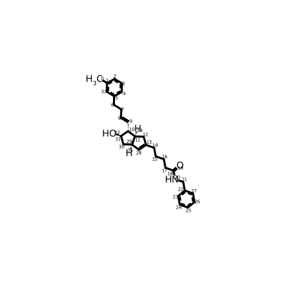 Cc1cccc(CC/C=C/[C@@H]2[C@H]3CC(CCCCC(=O)NCc4ccccc4)=C[C@H]3C[C@H]2O)c1